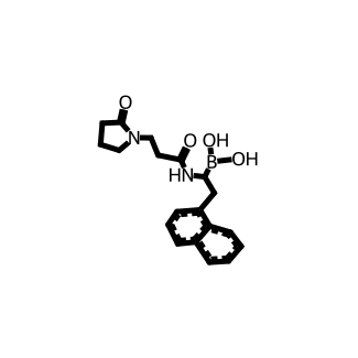 O=C(CCN1CCCC1=O)NC(Cc1cccc2ccccc12)B(O)O